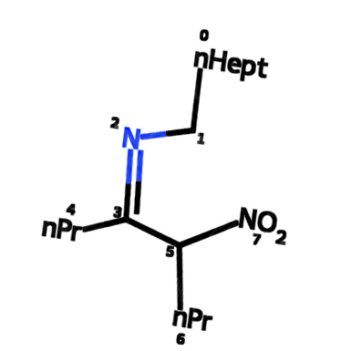 CCCCCCCCN=C(CCC)C(CCC)[N+](=O)[O-]